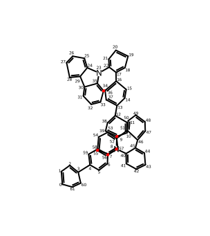 c1ccc(-c2ccc(N(c3ccc(-c4ccc(-c5ccccc5-n5c6ccccc6c6ccccc65)cc4)cc3)c3ccccc3-c3ccccc3-c3ccccc3)cc2)cc1